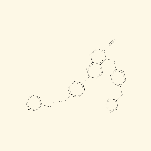 N#Cc1cnc2cc(-c3ccc(CNCc4ccncc4)cc3)ccc2c1Nc1ccc(Cc2ccoc2)cc1